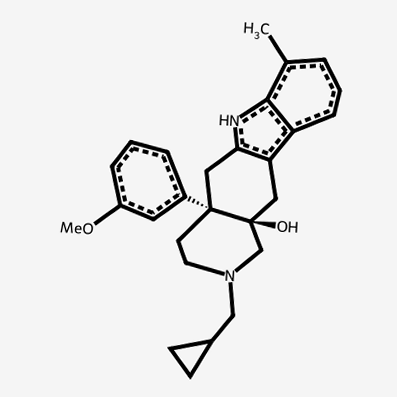 COc1cccc([C@@]23CCN(CC4CC4)C[C@@]2(O)Cc2c([nH]c4c(C)cccc24)C3)c1